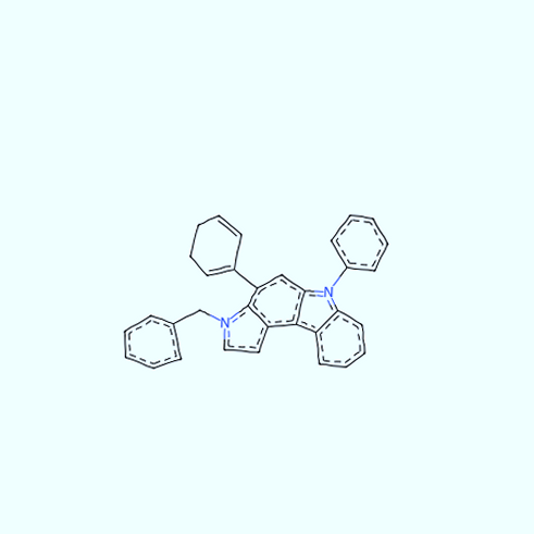 C1=CC(c2cc3c(c4ccn(Cc5ccccc5)c24)c2ccccc2n3-c2ccccc2)=CCC1